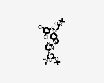 CN(C)CCN(CC(=O)OC(C)(C)C)c1ccnc(N2CCc3cc(N(CC(=O)OC(C)(C)C)Sc4cc(Cl)cc(Cl)c4)ccc32)n1